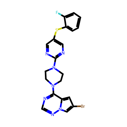 Fc1ccccc1Sc1cnc(N2CCN(c3ncnn4cc(Br)cc34)CC2)nc1